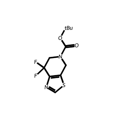 CC(C)(C)OC(=O)N1Cc2scnc2C(F)(F)C1